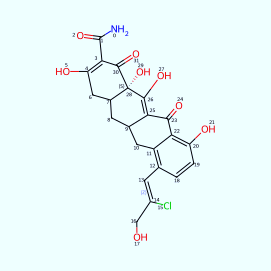 NC(=O)C1=C(O)CC2CC3Cc4c(/C=C(\Cl)CO)ccc(O)c4C(=O)C3=C(O)[C@]2(O)C1=O